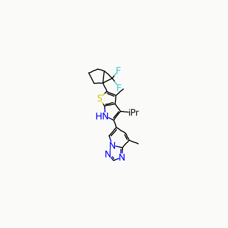 Cc1c(C23CCCC2C3(F)F)sc2[nH]c(-c3cc(C)c4ncnn4c3)c(C(C)C)c12